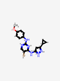 COc1ccc(Nc2ncc(Br)c(Nc3cc(C4CC4)n[nH]3)n2)cc1